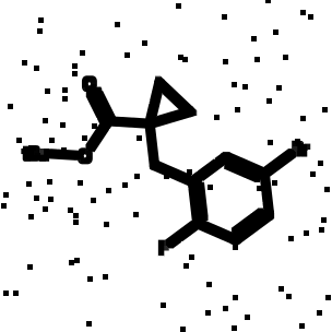 CC(C)(C)OC(=O)C1(Cc2cc(Br)ccc2F)CC1